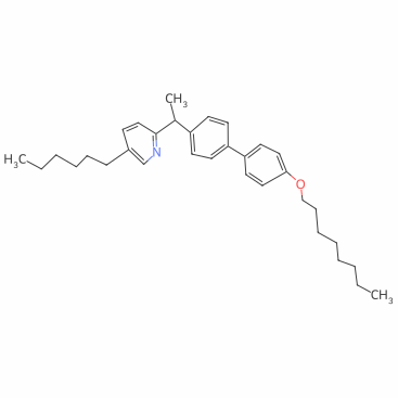 CCCCCCCCOc1ccc(-c2ccc(C(C)c3ccc(CCCCCC)cn3)cc2)cc1